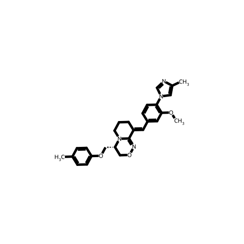 COc1cc(/C=C2\CCCN3C2=NOC[C@@H]3COc2ccc(C)cc2)ccc1-n1cnc(C)c1